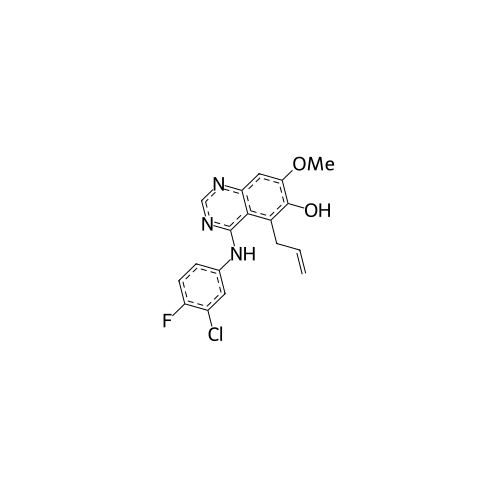 C=CCc1c(O)c(OC)cc2ncnc(Nc3ccc(F)c(Cl)c3)c12